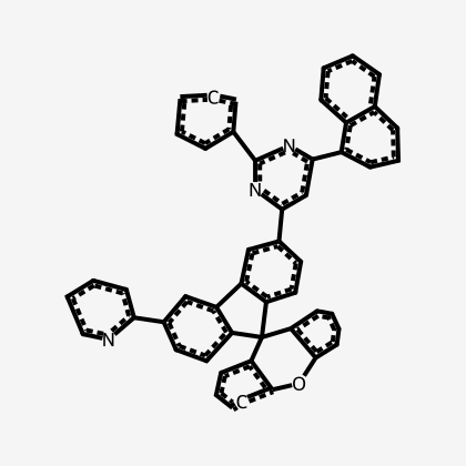 c1ccc(-c2nc(-c3ccc4c(c3)-c3cc(-c5ccccn5)ccc3C43c4ccccc4Oc4ccccc43)cc(-c3cccc4ccccc34)n2)cc1